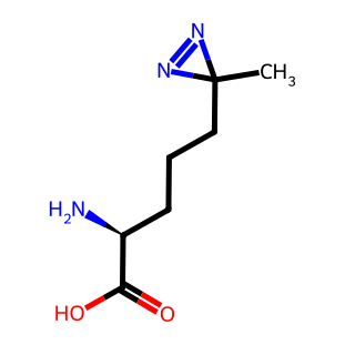 CC1(CCC[C@H](N)C(=O)O)N=N1